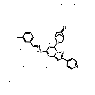 Cc1cccc(/C=N/Nc2cc(N3CC4CC3CC4=O)n3nc(-c4ccncc4)cc3n2)c1